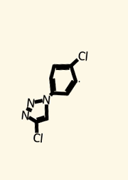 Clc1[c]cc(-n2cc(Cl)nn2)cc1